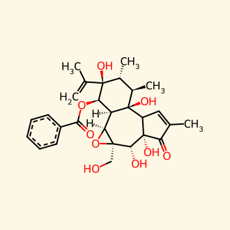 C=C(C)[C@]1(O)[C@H](C)[C@@H](C)[C@]2(O)C3C=C(C)C(=O)[C@@]3(O)[C@H](O)[C@@]3(CO)O[C@H]3[C@H]2[C@H]1OC(=O)c1ccccc1